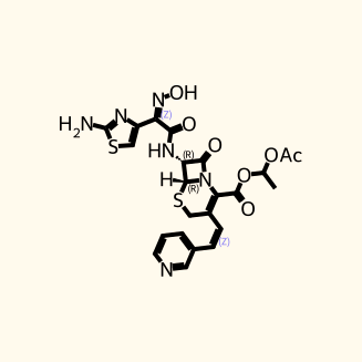 CC(=O)OC(C)OC(=O)C1=C(/C=C\c2cccnc2)CS[C@@H]2[C@H](NC(=O)/C(=N\O)c3csc(N)n3)C(=O)N12